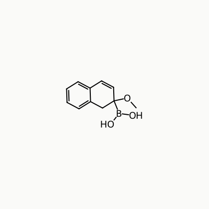 COC1(B(O)O)C=Cc2ccccc2C1